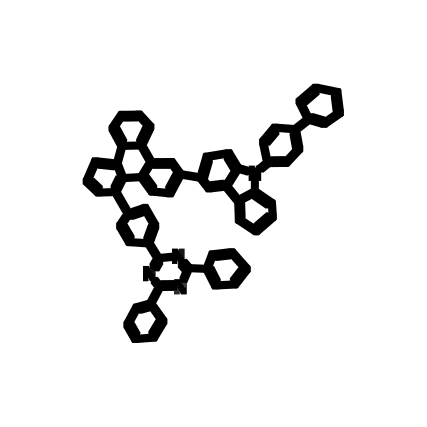 c1ccc(-c2ccc(-n3c4ccccc4c4cc(-c5ccc6c(c5)c5ccccc5c5cccc(-c7ccc(-c8nc(-c9ccccc9)nc(-c9ccccc9)n8)cc7)c56)ccc43)cc2)cc1